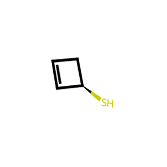 S[C@H]1C=CC1